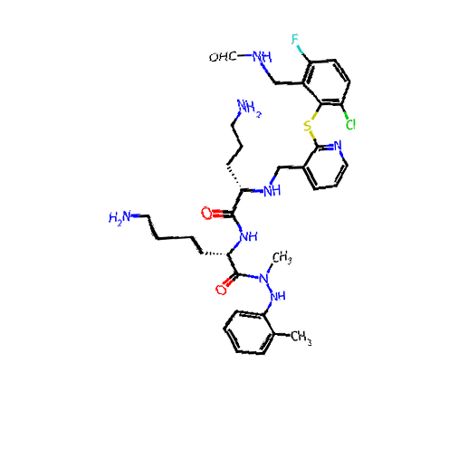 Cc1ccccc1NN(C)C(=O)[C@H](CCCCN)NC(=O)[C@H](CCCN)NCc1cccnc1Sc1c(Cl)ccc(F)c1CNC=O